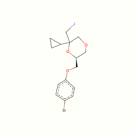 Brc1ccc(OC[C@@H]2COCC(CI)(C3CC3)O2)cc1